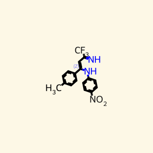 Cc1ccc(/C(=C/C(=N)C(F)(F)F)Nc2ccc([N+](=O)[O-])cc2)cc1